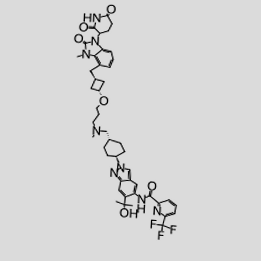 CN(CCCO[C@H]1C[C@H](Cc2cccc3c2n(C)c(=O)n3C2CCC(=O)NC2=O)C1)C[C@H]1CC[C@H](n2cc3cc(NC(=O)c4cccc(C(F)(F)F)n4)c(C(C)(C)O)cc3n2)CC1